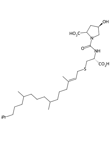 C/C(=C\CSC[C@H](NC(=O)N1C[C@H](O)CC1C(=O)O)C(=O)O)CCCC(C)CCCC(C)CCCC(C)C